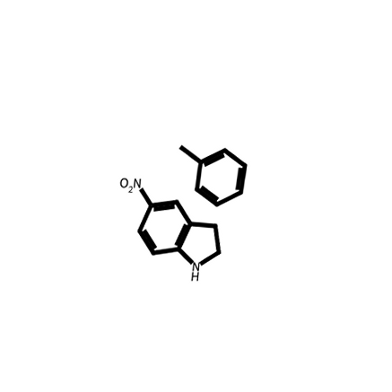 Cc1ccccc1.O=[N+]([O-])c1ccc2c(c1)CCN2